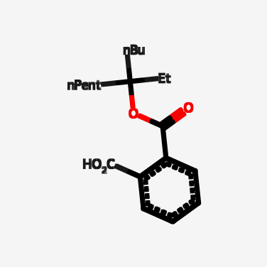 CCCCCC(CC)(CCCC)OC(=O)c1ccccc1C(=O)O